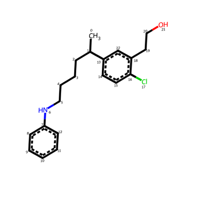 CC(CCCCNc1ccccc1)c1ccc(Cl)c(CCO)c1